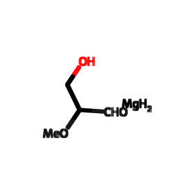 COC(C=O)CO.[MgH2]